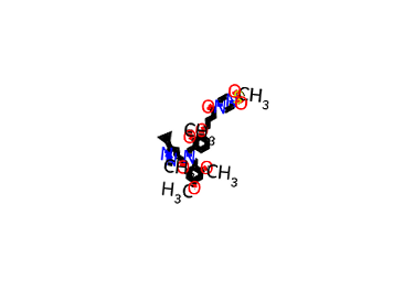 COc1ccc(CN(Cc2cccc(OCCCC(=O)N3CCN(S(C)(=O)=O)CC3)c2OC)C(=O)c2cc(C3CC3)nn2C)c(OC)c1